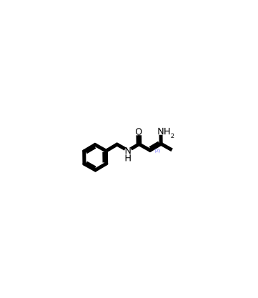 C/C(N)=C/C(=O)NCc1ccccc1